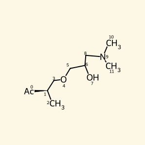 CC(=O)[C@H](C)COCC(O)CN(C)C